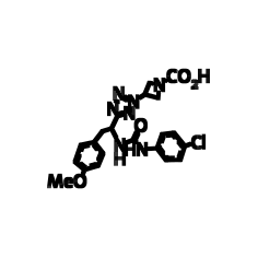 COc1ccc(CC(NC(=O)Nc2ccc(Cl)cc2)c2nnn(C3CN(C(=O)O)C3)n2)cc1